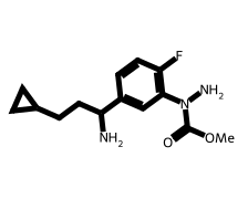 COC(=O)N(N)c1cc(C(N)CCC2CC2)ccc1F